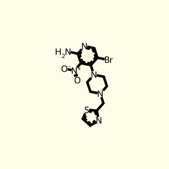 Nc1ncc(Br)c(N2CCN(Cc3nccs3)CC2)c1[N+](=O)[O-]